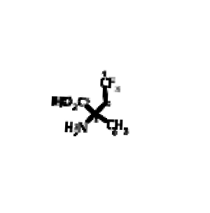 CC(N)(CC(F)(F)F)C(=O)O.Cl